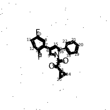 O=C(C(=O)N1CC(c2cc(F)ccc2F)=C[C@H]1c1ccccc1)C1CC1